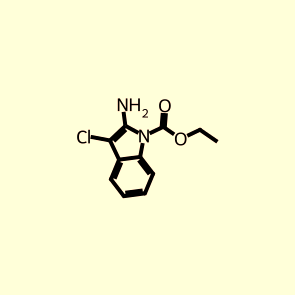 CCOC(=O)n1c(N)c(Cl)c2ccccc21